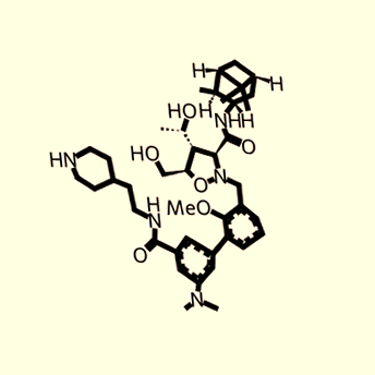 COc1c(CN2O[C@@H](CO)[C@H]([C@H](C)O)[C@H]2C(=O)N[C@H]2C[C@H]3C[C@@H]([C@@H]2C)C3(C)C)cccc1-c1cc(C(=O)NCCC2CCNCC2)cc(N(C)C)c1